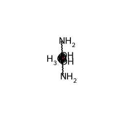 CP(=O)(OP(=O)(O)CCCCCCCCCCCN)OP(=O)(O)CCCCCCCCCCCN